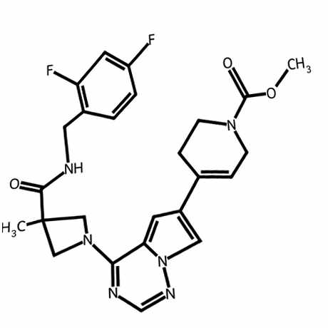 COC(=O)N1CC=C(c2cc3c(N4CC(C)(C(=O)NCc5ccc(F)cc5F)C4)ncnn3c2)CC1